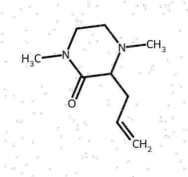 C=CCC1C(=O)N(C)CCN1C